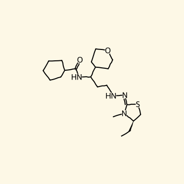 CC[C@@H]1CSC(=NNCCC(NC(=O)C2CCCCC2)C2CCOCC2)N1C